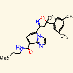 CSCCNC(=O)c1ccc(C2=NOC(c3cc(C(F)(F)F)cc(C(F)(F)F)c3)(C(F)(F)F)C2)n2ccnc12